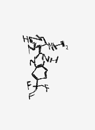 Nc1c[nH]nc1-c1nc2cc(C(F)(F)F)ccc2[nH]1